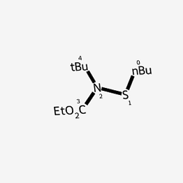 CCCCSN(C(=O)OCC)C(C)(C)C